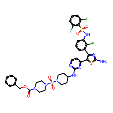 Nc1nc(-c2cccc(NS(=O)(=O)c3c(F)cccc3F)c2F)c(-c2ccnc(NC3CCN(S(=O)(=O)N4CCN(C(=O)OCc5ccccc5)CC4)CC3)n2)s1